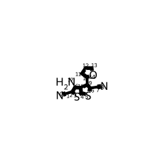 N#Cc1sc2sc(C#N)c(-c3ccco3)c2c1N